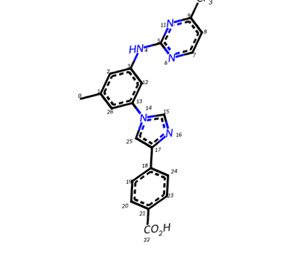 Cc1cc(Nc2nccc(C(F)(F)F)n2)cc(-n2cnc(-c3ccc(C(=O)O)cc3)c2)c1